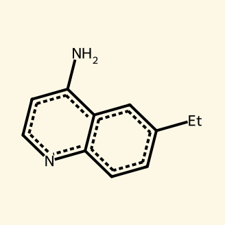 CCc1ccc2nccc(N)c2c1